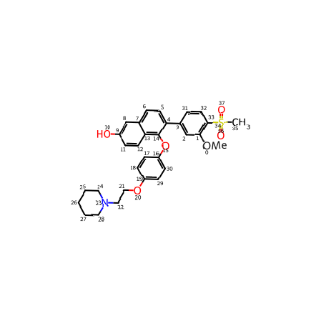 COc1cc(-c2ccc3cc(O)ccc3c2Oc2ccc(OCCN3CCCCC3)cc2)ccc1S(C)(=O)=O